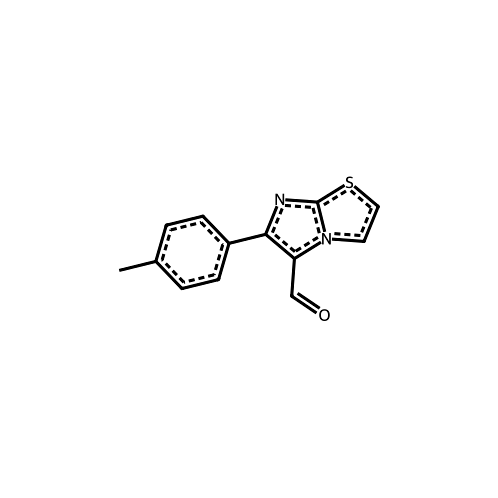 Cc1ccc(-c2nc3sccn3c2C=O)cc1